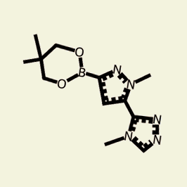 Cn1cnnc1-c1cc(B2OCC(C)(C)CO2)nn1C